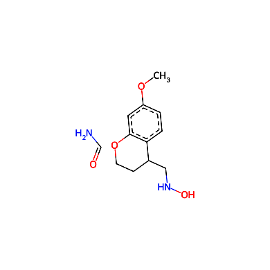 COc1ccc2c(c1)OCCC2CNO.NC=O